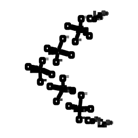 [Co+2].[Co+2].[La+3].[La+3].[O]=[Mn](=[O])([O-])[O-].[O]=[Mn](=[O])([O-])[O-].[O]=[Mn](=[O])([O-])[O-].[O]=[Mn](=[O])([O-])[O-].[O]=[Mn](=[O])([O-])[O-]